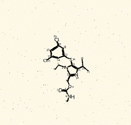 CCn1c(COC(=O)NC)nc(C(C)C)c1Sc1cc(Cl)cc(Cl)c1